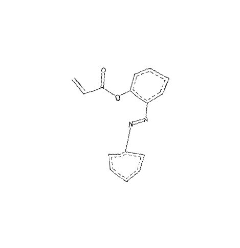 C=CC(=O)Oc1ccccc1N=Nc1ccccc1